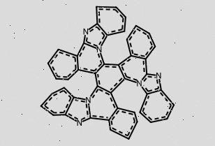 c1ccc2c(c1)nc1c3ccccc3c3c(c4c5ccccc5c5nc6ccccc6n5c4c4c5ccccc5c5nc6ccccc6n5c34)n21